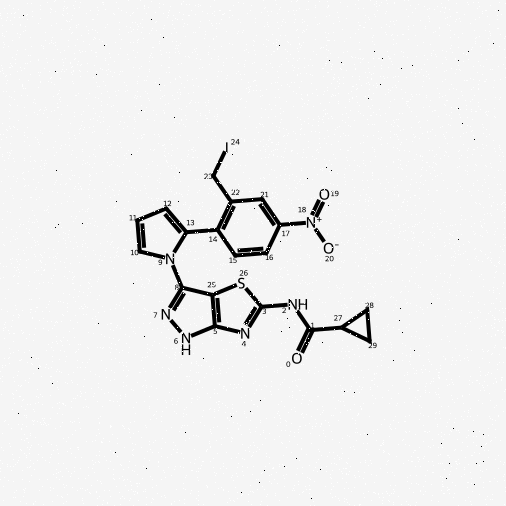 O=C(Nc1nc2[nH]nc(-n3cccc3-c3ccc([N+](=O)[O-])cc3CI)c2s1)C1CC1